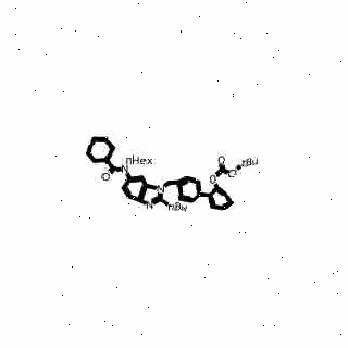 CCCCCCN(C(=O)C1CCCCC1)c1ccc2nc(CCCC)n(Cc3ccc(-c4ccccc4OC(=O)OC(C)(C)C)cc3)c2c1